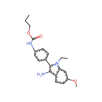 CCCOC(=O)Nc1ccc(-c2c(N)c3ccc(OC)cc3n2CC)cc1